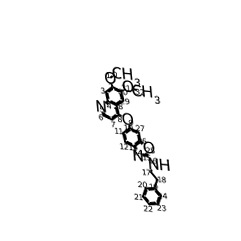 COc1cc2nccc(Oc3ccc4nc(NCCc5ccccc5)oc4c3)c2cc1OC